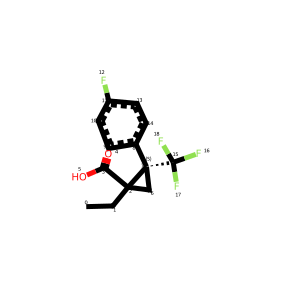 CCC1(C(=O)O)C[C@@]1(c1ccc(F)cc1)C(F)(F)F